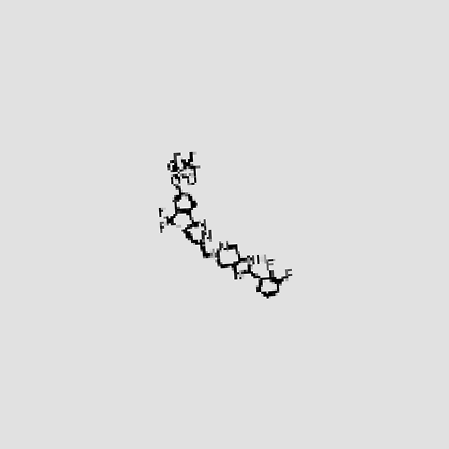 O=S(=O)(Oc1ccc(-c2ccc(CN3Cc4nc(-c5cccc(F)c5F)[nH]c4C=N3)nn2)c(C(F)(F)F)c1)C(F)(F)F